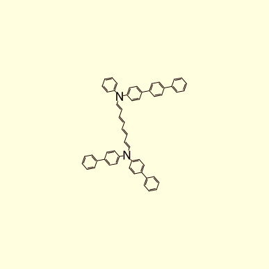 C(/C=C/C=C/N(c1ccc(-c2ccccc2)cc1)c1ccc(-c2ccccc2)cc1)=C\C=C\N(c1ccccc1)c1ccc(-c2ccc(-c3ccccc3)cc2)cc1